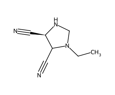 CCN1CN[C@H](C#N)C1C#N